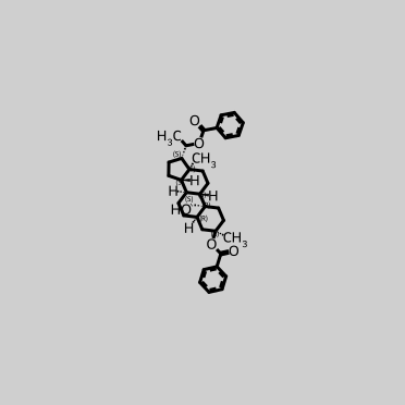 CC(OC(=O)c1ccccc1)[C@H]1CC[C@H]2[C@@H]3CC[C@@H]4C[C@](C)(OC(=O)c5ccccc5)CC[C@]4(CO)[C@H]3CC[C@]12C